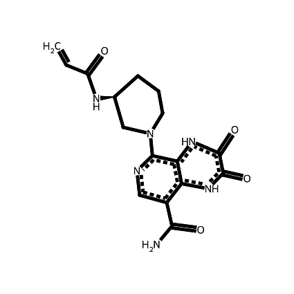 C=CC(=O)N[C@H]1CCCN(c2ncc(C(N)=O)c3[nH]c(=O)c(=O)[nH]c23)C1